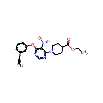 C#Cc1cccc(Oc2ncnc(N3CCC(C(=O)OCC)CC3)c2[N+](=O)[O-])c1